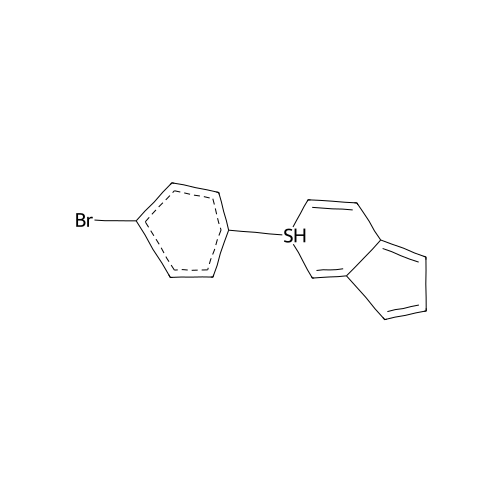 Brc1ccc([SH]2C=CC3=CC=CC3=C2)cc1